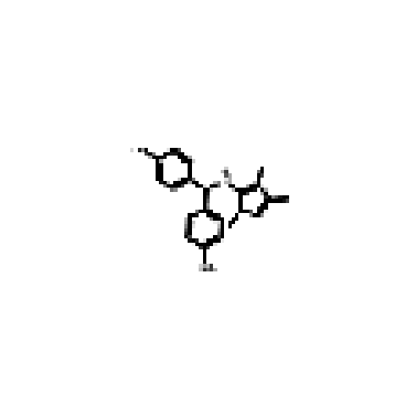 CCCCc1ccc(C([SiH2]C2=C(C)C(C)=CC2C)c2ccc(CCCC)cc2)cc1